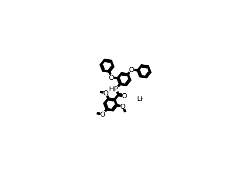 COc1cc(OC)c(C(=O)Pc2ccc(Oc3ccccc3)cc2Oc2ccccc2)c(OC)c1.[Li]